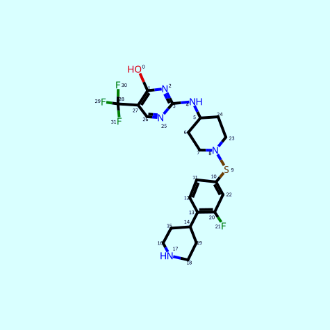 Oc1nc(NC2CCN(Sc3ccc(C4CCNCC4)c(F)c3)CC2)ncc1C(F)(F)F